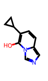 Oc1c(C2CC2)ccc2cncn12